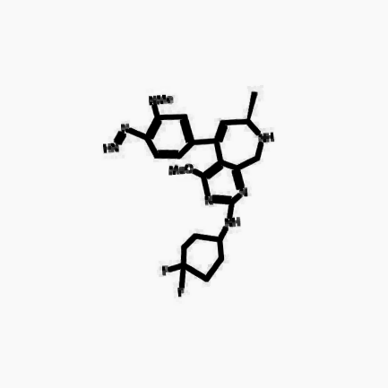 CNc1cc(C2=C[C@@H](C)NCc3nc(NC4CCC(F)(F)CC4)nc(OC)c32)ccc1N=N